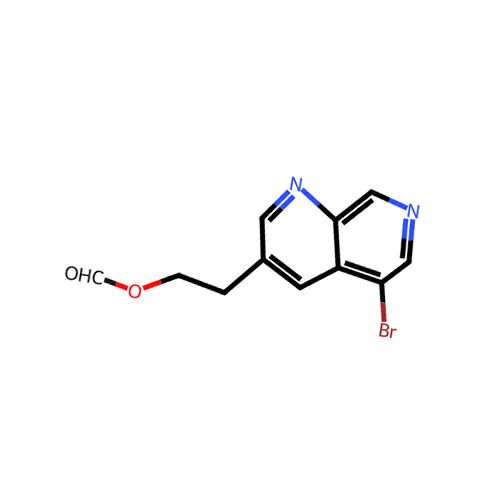 O=COCCc1cnc2cncc(Br)c2c1